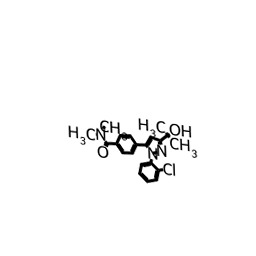 CN(C)C(=O)c1ccc(-c2cc(C(C)(C)O)nn2-c2ccccc2Cl)cc1